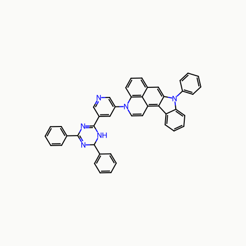 C1=CN(c2cncc(C3=NC(c4ccccc4)=NC(c4ccccc4)N3)c2)c2cccc3cc4c(c1c23)c1ccccc1n4-c1ccccc1